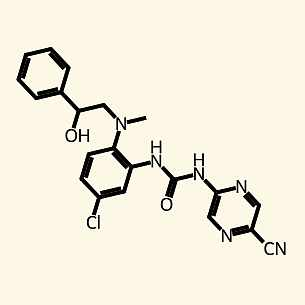 CN(CC(O)c1ccccc1)c1ccc(Cl)cc1NC(=O)Nc1cnc(C#N)cn1